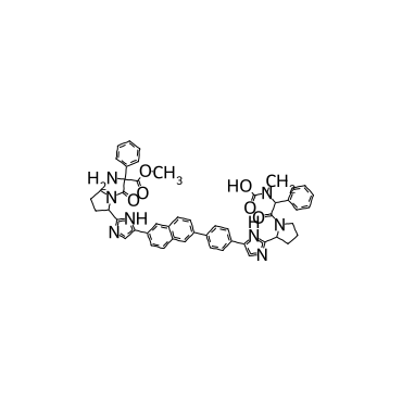 [CH2]N(C(=O)O)C(C(=O)N1CCCC1c1ncc(-c2ccc(-c3ccc4cc(-c5cnc(C6CCCN6C(=O)C(N)(C(=O)OC)c6ccccc6)[nH]5)ccc4c3)cc2)[nH]1)c1ccccc1